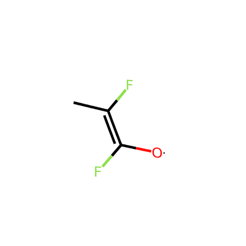 CC(F)=C([O])F